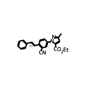 CCOC(=O)c1cc(C)nn1-c1ccc(/C=C/c2ccccc2)c(C#N)c1